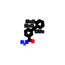 COc1ccccc1C(OC)(OC)c1cccc(C(N)=O)c1